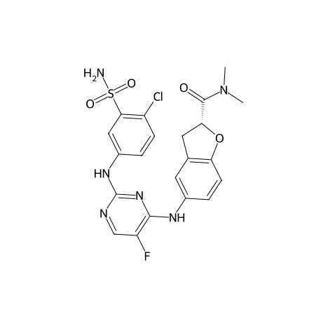 CN(C)C(=O)[C@H]1Cc2cc(Nc3nc(Nc4ccc(Cl)c(S(N)(=O)=O)c4)ncc3F)ccc2O1